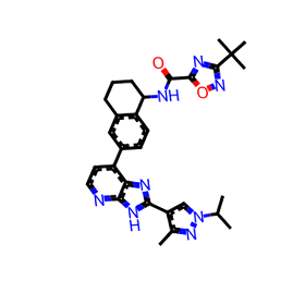 Cc1nn(C(C)C)cc1-c1nc2c(-c3ccc4c(c3)CCCC4NC(=O)c3nc(C(C)(C)C)no3)ccnc2[nH]1